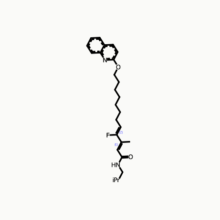 CC(=C\C(=O)NCC(C)C)/C(F)=C/CCCCCCCOc1ccc2ccccc2n1